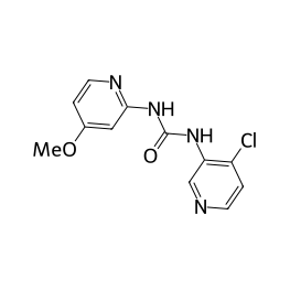 COc1ccnc(NC(=O)Nc2cnccc2Cl)c1